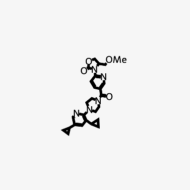 COCC1COC(=O)N1c1ccc(C(=O)N2CCN(c3ncc(C4CC4)cc3C3CC3)CC2)cn1